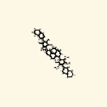 Cc1c(C)c(-c2ccc3ccc4c(-c5c(C)c(O)c(-c6ccc7c(c6)CCCC7)c(O)c5O)ccc5ccc2c3c54)c(O)c(C)c1-c1ccc2ccccc2c1